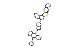 c1ccc(-c2c3ccccc3c(-c3ccc4cc(-c5cc6sc7cc8ccccc8cc7c6c6ccccc56)ccc4c3)c3ccccc23)cc1